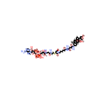 CC(C)(COP(=O)(O)OP(=O)(O)OC[C@H]1O[C@@H](n2cnc3c(N)ncnc32)[C@@H](O)C1OP(=O)(O)O)[C@@H](O)C(=O)NCCC(=O)NCCS[C@H]1CC(=O)N(CCCCCC(=O)NNC(=O)CCC(=O)N[C@H]2CC[C@@]3(C)[C@H](CC[C@@H]4[C@H]3C[C@@H](O)[C@]3(C)[C@@H](C5=CC(=O)OC5)CC[C@]43O)C2)C1=O